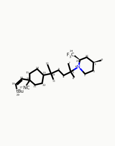 C[C@H]1CCN(C(C)(C)CCC(C)(C)C2CCC(C#N)(/C=C\C(C)(C)C)CC2)[C@@H](C(F)(F)F)C1